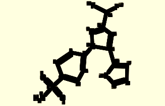 NS(=O)(=O)c1ccc(-n2nc(C(F)F)cc2-c2cccs2)cc1